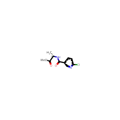 COC(=O)[C@H](C)NC(=O)c1ccc(Cl)nc1